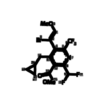 COC=C(Br)c1c(C(F)(F)F)nc(C(F)F)c(C(=O)OC)c1CC1CC1